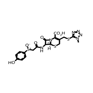 Cn1nnnc1SCC1=C(C(=O)O)N2C(=O)C(NC(=O)C[S+]([O-])c3ccc(O)cc3)[C@@H]2SC1